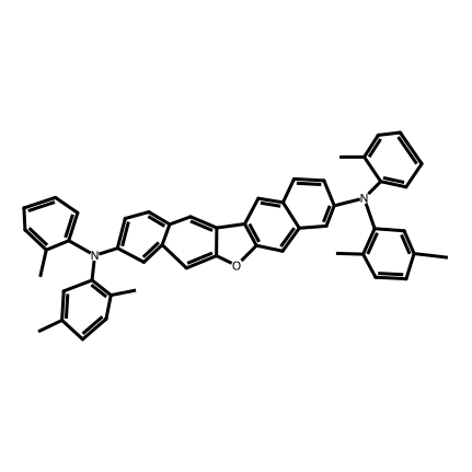 Cc1ccc(C)c(N(c2ccc3cc4c(cc3c2)oc2cc3cc(N(c5ccccc5C)c5cc(C)ccc5C)ccc3cc24)c2ccccc2C)c1